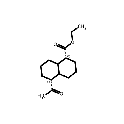 CCOC(=O)[C@@H]1CCCC2C1CCC[C@H]2C(C)=O